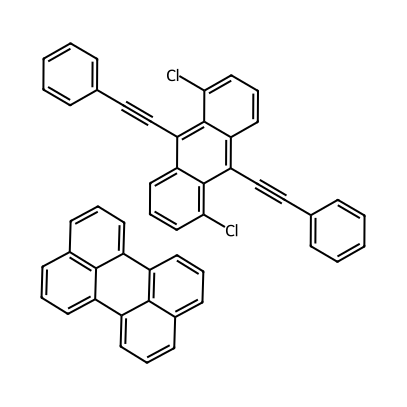 Clc1cccc2c(C#Cc3ccccc3)c3c(Cl)cccc3c(C#Cc3ccccc3)c12.c1cc2cccc3c4cccc5cccc(c(c1)c23)c54